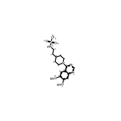 COc1cc2ncnc(N3CCC(CCNS(=O)(=O)C(F)(F)F)CC3)c2cc1OC